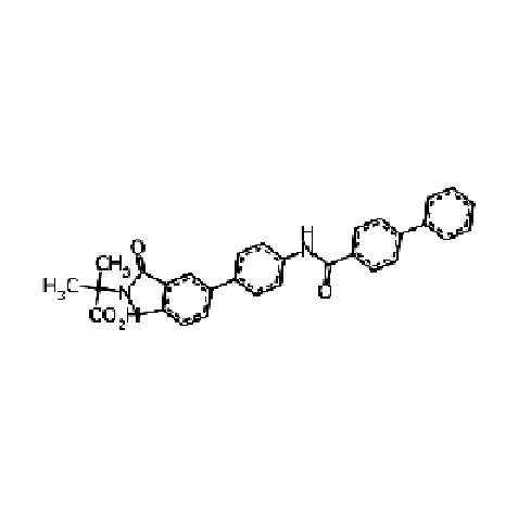 CC(C)(C(=O)O)N1Cc2ccc(-c3ccc(NC(=O)c4ccc(-c5ccccc5)cc4)cc3)cc2C1=O